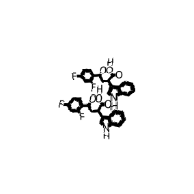 O=C(CC(C(=O)O)c1c[nH]c2ccccc12)c1ccc(F)cc1F.O=C(CC(C(=O)O)c1c[nH]c2ccccc12)c1ccc(F)cc1F